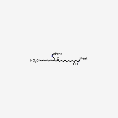 CCCCC/C=C\CC(O)CCCCCCCCC(=O)OC(C/C=C\CCCCC)CCCCCCCCC(=O)O